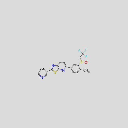 Cc1ccc(-c2ccc3nc(-c4cccnc4)sc3n2)cc1[S+]([O-])CC(F)(F)F